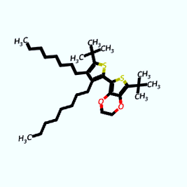 CCCCCCCCc1c(-c2sc(C(C)(C)C)c3c2OCCO3)sc(C(C)(C)C)c1CCCCCCCC